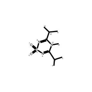 CC(C)C1=NS(=O)(=O)N=C(C(C)C)N1C